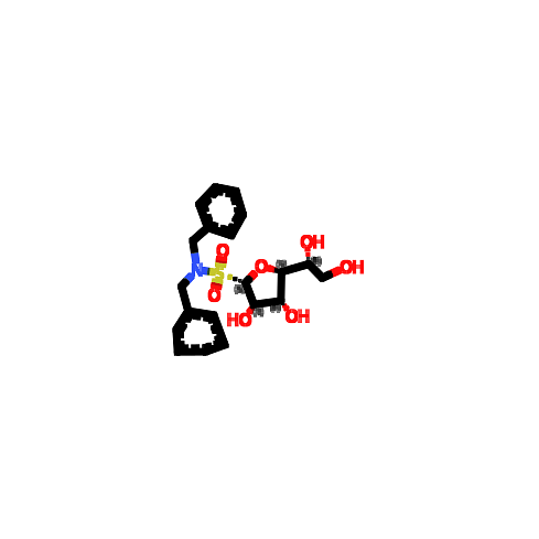 O=S(=O)([C@@H]1O[C@@H]([C@H](O)CO)[C@H](O)[C@H]1O)N(Cc1ccccc1)Cc1ccccc1